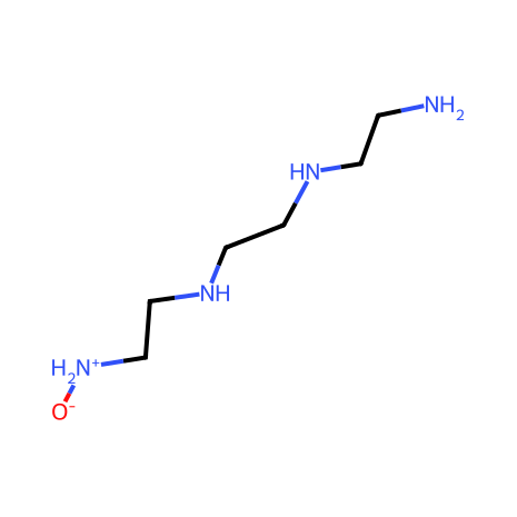 NCCNCCNCC[NH2+][O-]